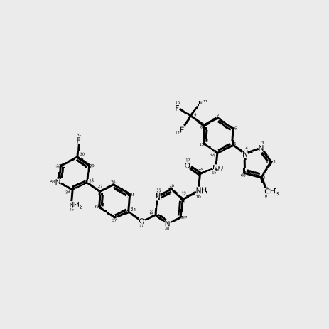 Cc1cnn(-c2ccc(C(F)(F)F)cc2NC(=O)Nc2cnc(Oc3ccc(-c4cc(F)cnc4N)cc3)nc2)c1